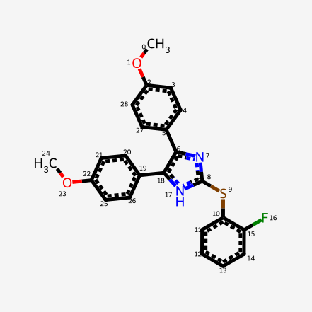 COc1ccc(-c2nc(Sc3ccccc3F)[nH]c2-c2ccc(OC)cc2)cc1